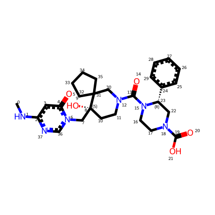 CNc1cc(=O)n(C[C@]2(O)CCN(C(=O)N3CCN(C(=O)O)C[C@H]3c3ccccc3)CC23CCCC3)cn1